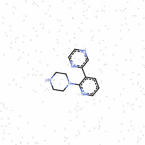 c1cnc(N2CCNCC2)c(-c2cnccn2)c1